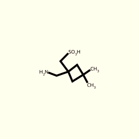 CC1(C)CC(CN)(CS(=O)(=O)O)C1